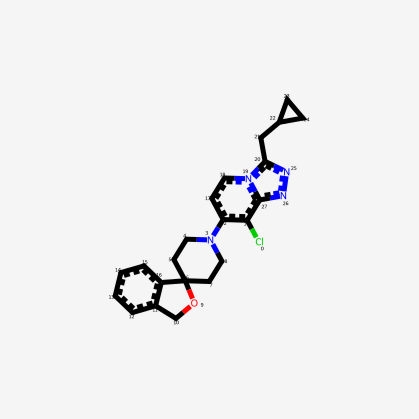 Clc1c(N2CCC3(CC2)OCc2ccccc23)ccn2c(CC3CC3)nnc12